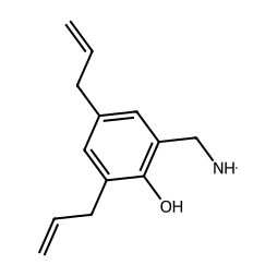 C=CCc1cc(C[NH])c(O)c(CC=C)c1